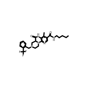 CCCCCNC(=O)c1cnc2c(c1C)NC(=O)C1CN(Cc3ccccc3C(F)(F)F)CCN21